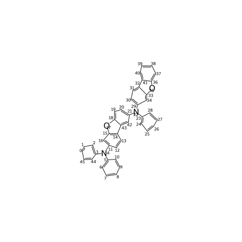 c1ccc(N(c2ccccc2)c2ccc3c(c2)oc2ccc(N(c4ccccc4)c4ccc5c(c4)oc4ccccc45)cc23)cc1